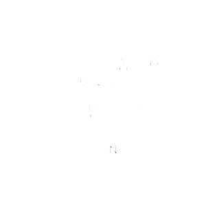 C=CC(=O)OC1C(C#N)CC2CC1(C)OC2=O